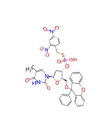 Cc1cn([C@H]2C[C@H](OP(=O)(O)SCc3ccc([N+](=O)[O-])cc3[N+](=O)[O-])[C@@H](COC3(c4ccccc4)c4ccccc4Oc4ccccc43)O2)c(=O)[nH]c1=O